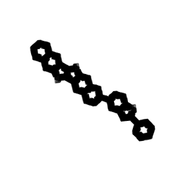 c1ccc(-c2cc3cc(-c4ccc5cc6c(cc5c4)sc4c5cc7ccccc7cc5sc64)ccc3s2)cc1